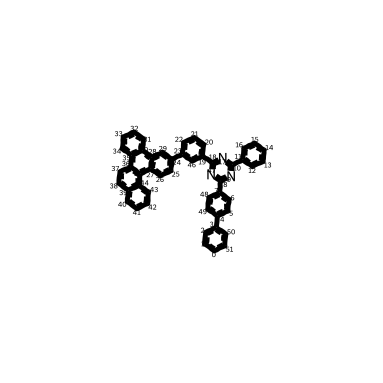 c1ccc(-c2ccc(-c3nc(-c4ccccc4)nc(-c4cccc(-c5ccc6c(c5)c5ccccc5c5ccc7ccccc7c56)c4)n3)cc2)cc1